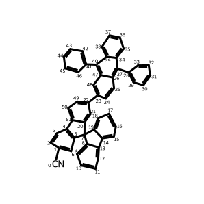 N#Cc1ccc2c(c1)C1(c3ccccc3-c3ccccc31)c1cc(-c3ccc4c(-c5ccccc5)c5ccccc5c(-c5ccccc5)c4c3)ccc1-2